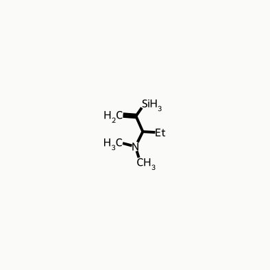 C=C([SiH3])C(CC)N(C)C